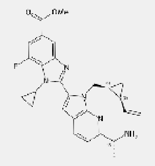 C=C[C@@H]1C[C@@H]1Cn1c(-c2nc3cc(C(=O)OC)cc(F)c3n2C2CC2)cc2ccc([C@@H](C)N)nc21